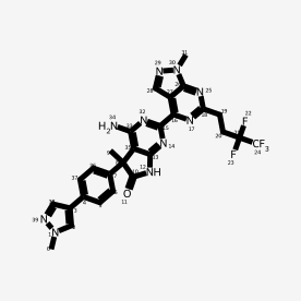 Cn1cc(-c2ccc(C3(C)C(=O)Nc4nc(-c5nc(CCC(F)(F)C(F)(F)F)nc6c5cnn6C)nc(N)c43)cc2)cn1